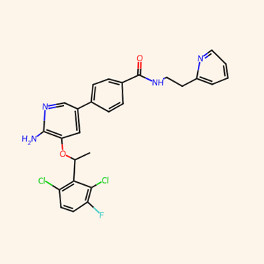 CC(Oc1cc(-c2ccc(C(=O)NCCc3ccccn3)cc2)cnc1N)c1c(Cl)ccc(F)c1Cl